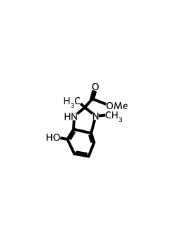 COC(=O)C1(C)Nc2c(O)cccc2N1C